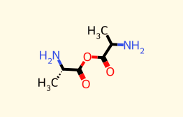 CC(N)C(=O)OC(=O)[C@H](C)N